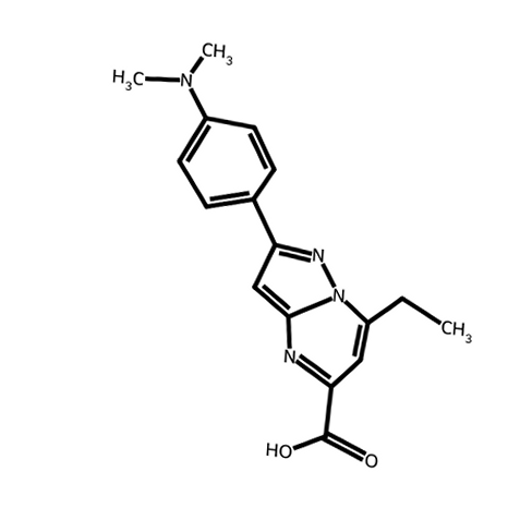 CCc1cc(C(=O)O)nc2cc(-c3ccc(N(C)C)cc3)nn12